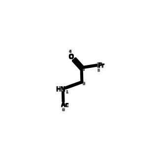 CC(=O)NCC(=O)C(C)C